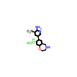 Cl.Cl.Nc1ncc(-c2ccc3c(c2)CNCCO3)cc1[N+](=O)[O-]